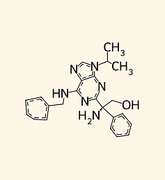 CC(C)n1cnc2c(NCc3ccccc3)nc([C@](N)(CO)c3ccccc3)nc21